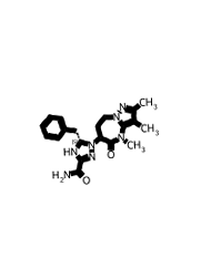 Cc1nn2c(c1C)N(C)C(=O)C(N1N=C(C(N)=O)N[C@@H]1Cc1ccccc1)CC2